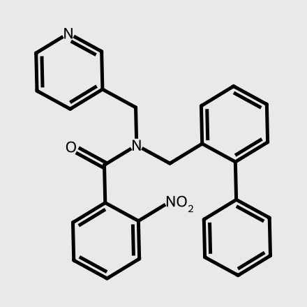 O=C(c1ccccc1[N+](=O)[O-])N(Cc1cccnc1)Cc1ccccc1-c1ccccc1